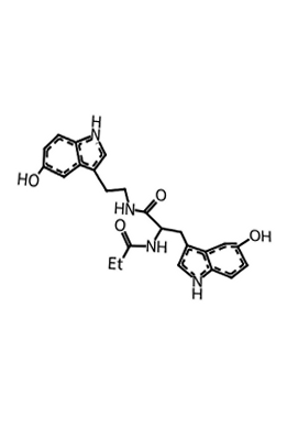 CCC(=O)NC(Cc1c[nH]c2ccc(O)cc12)C(=O)NCCc1c[nH]c2ccc(O)cc12